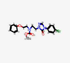 CC(C)(C)OC(=O)N(CCOc1ccccc1)CCn1ncn(-c2ccc(Br)cc2)c1=O